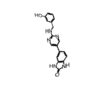 O=c1[nH]c2ccc(-c3cnc(NCc4cccc(O)c4)nc3)cc2[nH]1